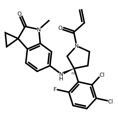 C=CC(=O)N1CC[C@](Nc2ccc3c(c2)N(C)C(=O)C32CC2)(c2c(F)ccc(Cl)c2Cl)C1